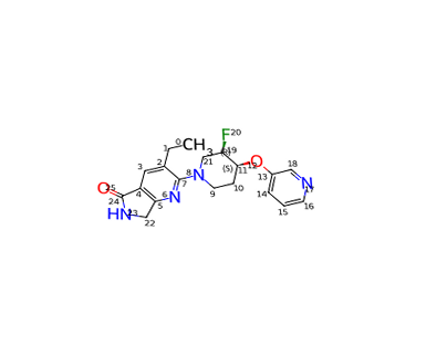 CCc1cc2c(nc1N1CC[C@H](Oc3cccnc3)[C@H](F)C1)CNC2=O